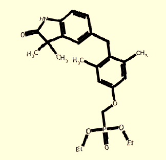 CCOP(=O)(COc1cc(C)c(Cc2ccc3c(c2)C(C)(C)C(=O)N3)c(C)c1)OCC